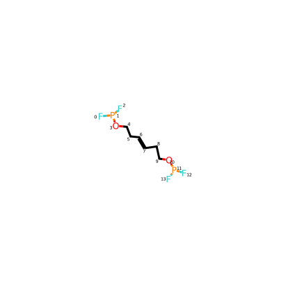 FP(F)OCC/C=C/CCOP(F)F